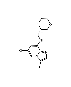 Clc1cc(NC[C@H]2COCCO2)c2ncc(I)n2n1